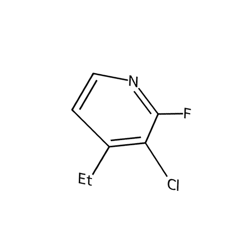 CCc1ccnc(F)c1Cl